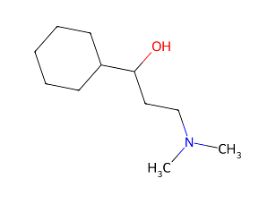 CN(C)CCC(O)C1CCCCC1